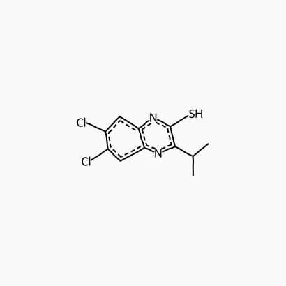 CC(C)c1nc2cc(Cl)c(Cl)cc2nc1S